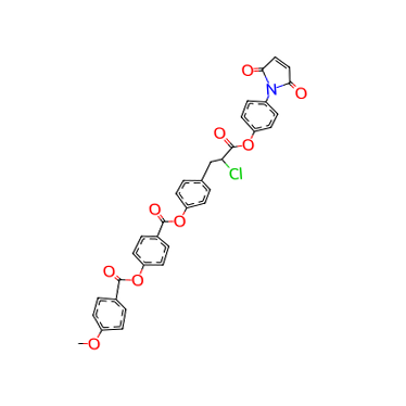 COc1ccc(C(=O)Oc2ccc(C(=O)Oc3ccc(CC(Cl)C(=O)Oc4ccc(N5C(=O)C=CC5=O)cc4)cc3)cc2)cc1